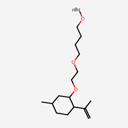 C=C(C)C1CCC(C)CC1OCCOCCCCOCCCC